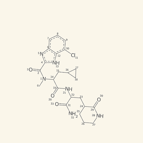 CN(C(=O)c1nc2cccc(Cl)c2[nH]1)C(CC1CC1)C(=O)NC(CC1CCCNC1=O)C(N)=O